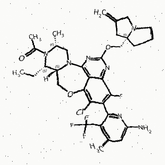 C=C1CN2CCC[C@@]2(COc2nc3c4c(c(Cl)c(-c5nc(N)cc(C)c5C(F)(F)F)c(F)c4n2)OC[C@@H]2[C@H](CC)N(C(C)=O)[C@H](C)CN32)C1